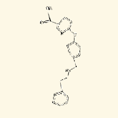 O=C(O)c1ccc(Oc2ccc(CNCCc3ccccc3)cc2)nc1